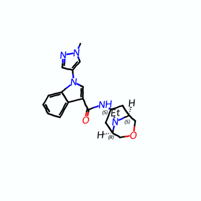 CCN1[C@@H]2COC[C@H]1C[C@@H](NC(=O)c1cn(-c3cnn(C)c3)c3ccccc13)C2